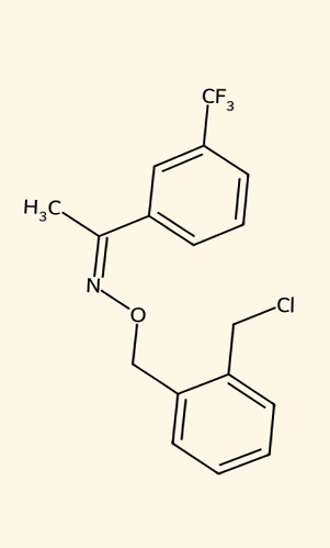 CC(=NOCc1ccccc1CCl)c1cccc(C(F)(F)F)c1